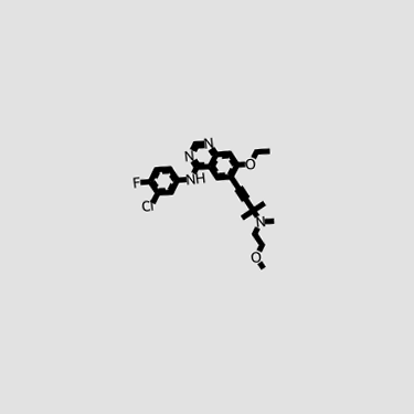 CCOc1cc2ncnc(Nc3ccc(F)c(Cl)c3)c2cc1C#CC(C)(C)N(C)CCOC